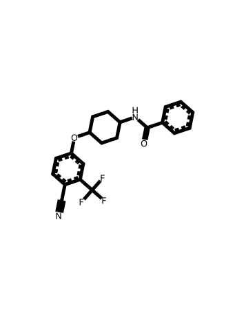 N#Cc1ccc(OC2CCC(NC(=O)c3ccccc3)CC2)cc1C(F)(F)F